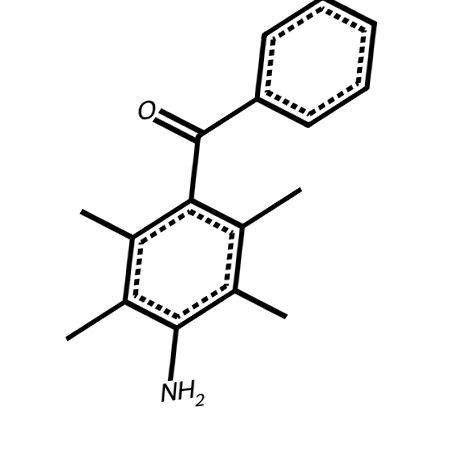 Cc1c(C)c(C(=O)c2ccccc2)c(C)c(C)c1N